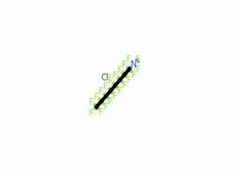 FC(F)(F)C(F)(F)C(F)(F)C(F)(F)C(F)(F)C(F)(F)C(F)(F)C(F)(F)[N+](F)(F)F.[Cl-]